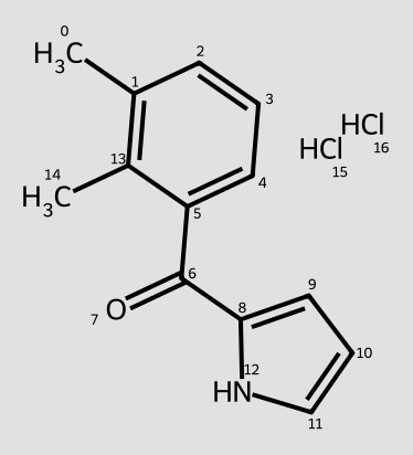 Cc1cccc(C(=O)c2ccc[nH]2)c1C.Cl.Cl